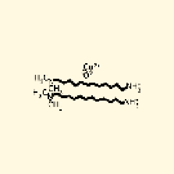 CN(C)CCCCCCCCCCCC[NH3+].CN(C)CCCCCCCCCCCC[NH3+].[Cu+2].[O-2].[O-2]